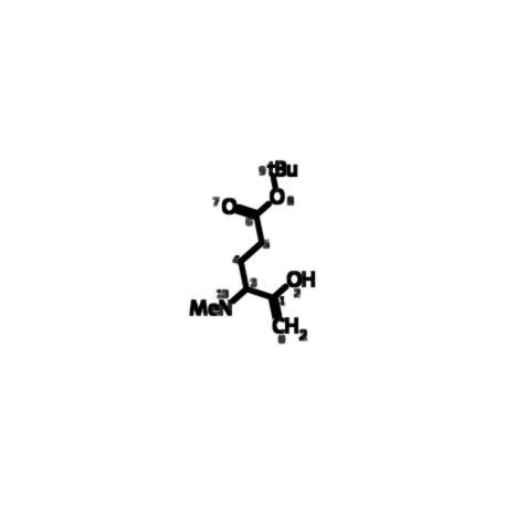 C=C(O)C(CCC(=O)OC(C)(C)C)NC